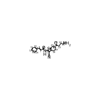 N#Cc1c(NC(=O)C=Cc2cccnc2)sc2c1CCN(C(=O)CCCN)C2